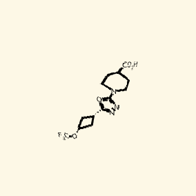 O=C(O)C1CCN(c2nnc([C@H]3C[C@@H](OC(F)(F)F)C3)o2)CC1